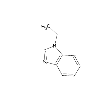 CCn1cnc2ccc[c]c21